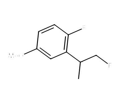 COc1ccc(F)c([C](C)CF)c1